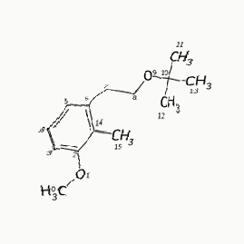 COc1cccc(CCOC(C)(C)C)c1C